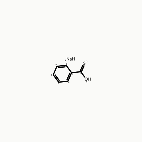 OC(=S)c1ccccc1.[NaH]